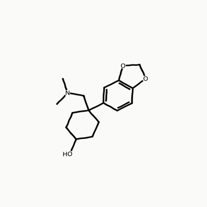 CN(C)CC1(c2ccc3c(c2)OCO3)CCC(O)CC1